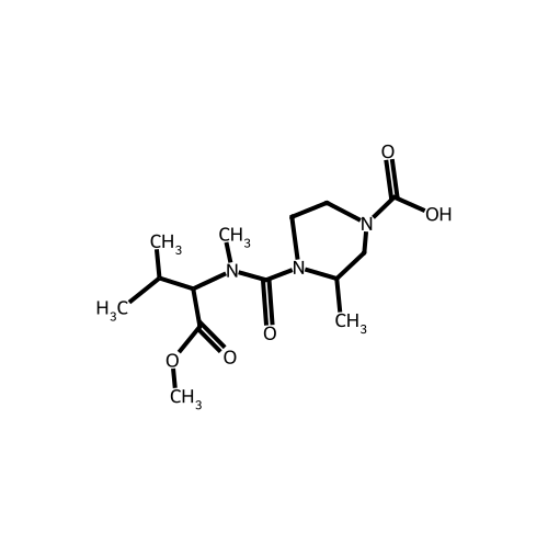 COC(=O)C(C(C)C)N(C)C(=O)N1CCN(C(=O)O)CC1C